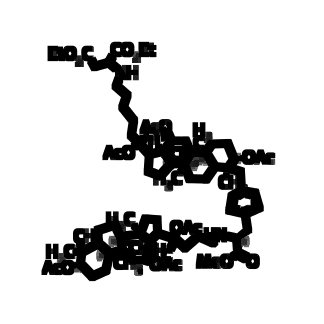 CCOC(=O)CC(NCCCCCC(C)(OC(C)=O)C1CC[C@]2(C)[C@@H]1C(OC(C)=O)CC1[C@@]3(C)CC[C@H](OC(C)=O)[C@@](C)(Cc4ccc(C[C@H](NCCCC(C)(OC(C)=O)C5CC[C@]6(C)[C@@H]5C(OC(C)=O)CC5[C@@]7(C)CC[C@H](OC(C)=O)C(C)(C)C7CC[C@]56C)C(=O)OC)cc4)C3CC[C@]12C)C(=O)OCC